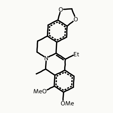 CCC1=C2c3cc4c(cc3CCN2C(C)c2c1ccc(OC)c2OC)OCO4